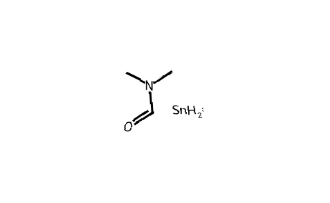 CN(C)C=O.[SnH2]